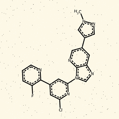 Cn1cc(-c2cnc3c(c2)ncn3-c2cc(-c3ncccc3F)cc(Cl)n2)cn1